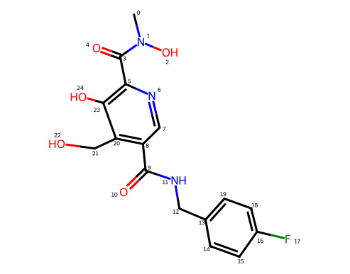 CN(O)C(=O)c1ncc(C(=O)NCc2ccc(F)cc2)c(CO)c1O